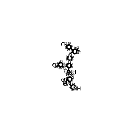 CN(c1ccc(S(=O)(=O)NC(=O)c2ccc(N3CCN(CC4=C(c5ccc(Cl)cc5)CC(C)(C)CC4)CC3)cc2Oc2cccc(C=O)c2)cc1[N+](=O)[O-])C1CCNCC1